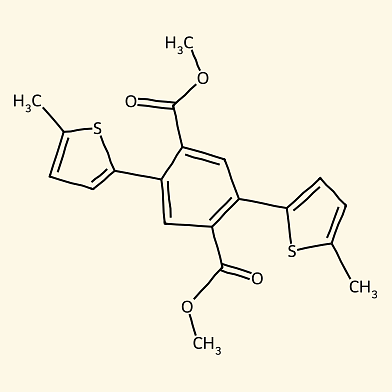 COC(=O)c1cc(-c2ccc(C)s2)c(C(=O)OC)cc1-c1ccc(C)s1